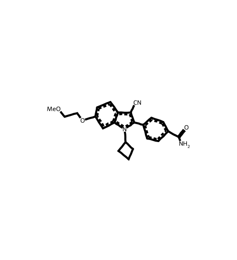 COCCOc1ccc2c(C#N)c(-c3ccc(C(N)=O)cc3)n(C3CCC3)c2c1